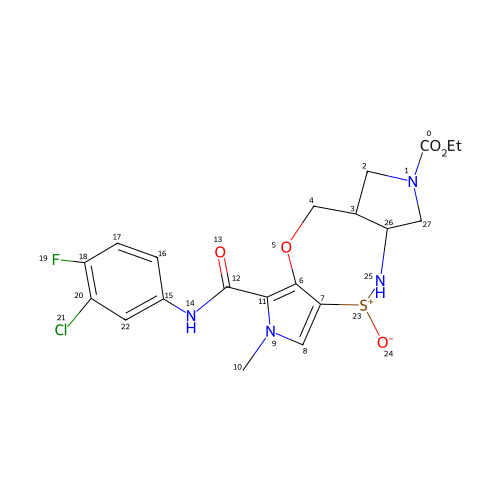 CCOC(=O)N1CC2COc3c(cn(C)c3C(=O)Nc3ccc(F)c(Cl)c3)[S+]([O-])NC2C1